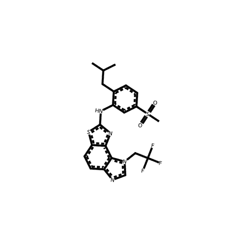 CC(C)Cc1ccc(S(C)(=O)=O)cc1Nc1nc2c(ccc3ncn(CC(F)(F)F)c32)s1